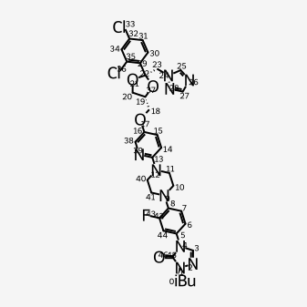 CC[C@H](C)n1ncn(-c2ccc(N3CCN(c4ccc(OC[C@@H]5CO[C@@](Cn6cncn6)(c6ccc(Cl)cc6Cl)O5)cn4)CC3)c(F)c2)c1=O